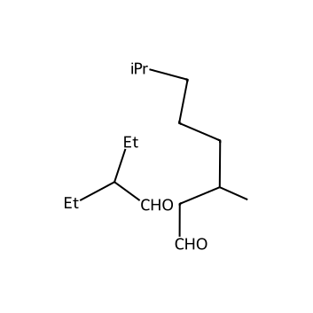 CC(C)CCCC(C)CC=O.CCC(C=O)CC